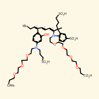 COCCOCCOCCOCCN(CCCS(=O)(=O)O)c1ccc(C(=C\CC(C)(C)C)/C=C/C=C2\N(CCOCCOCCOCCOCCC(=O)O)c3ccc(S(=O)(=O)O)cc3C2(C)CCCS(=O)(=O)O)c(O)c1